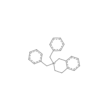 c1ccc(C[N+]2(Cc3ccccc3)CCc3ccccc3C2)cc1